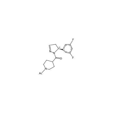 CC(=O)N1CCC(C(=O)N2N=CC[C@H]2c2cc(F)cc(F)c2)CC1